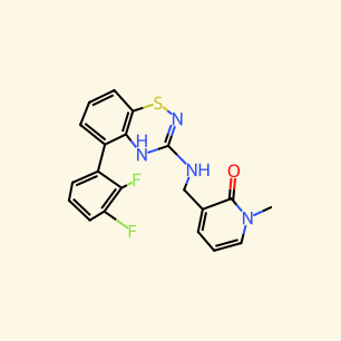 Cn1cccc(CNC2=NSc3cccc(-c4cccc(F)c4F)c3N2)c1=O